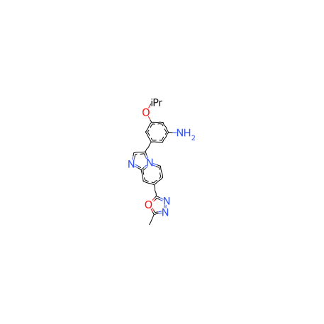 Cc1nnc(-c2ccn3c(-c4cc(N)cc(OC(C)C)c4)cnc3c2)o1